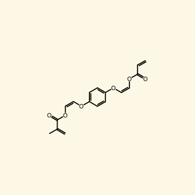 C=CC(=O)O/C=C\Oc1ccc(O/C=C\OC(=O)C(=C)C)cc1